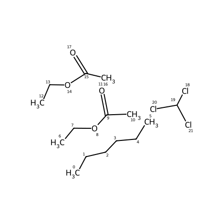 CCCCCC.CCOC(C)=O.CCOC(C)=O.ClC(Cl)Cl